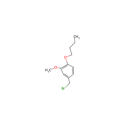 CCCCOc1ccc(CBr)cc1OC